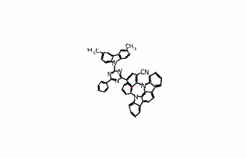 Cc1ccc2c(c1)c1cc(C)ccc1n2-c1nc(-c2ccccc2)nc(-c2ccc(-n3c4ccccc4c4ccc5c6ccccc6n(-c6ccccc6)c5c43)c(C#N)c2)n1